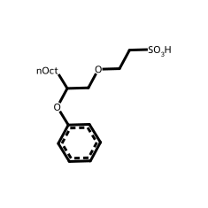 CCCCCCCCC(COCCS(=O)(=O)O)Oc1ccccc1